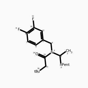 CCCCCC(C)N(Cc1ccc(F)c(F)c1)C(=O)CC(C)(C)C